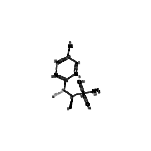 CCc1cnc([C@@H](C)[C@H](C)S(N)(=O)=O)nc1